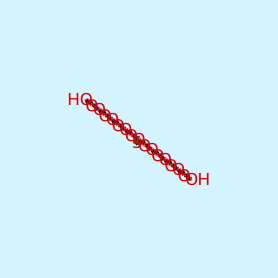 CSC.OCCOCCOCCOCCOCCOCCOCCOCCOCCOCCOCCOCCOCCOCCOCCOCCO